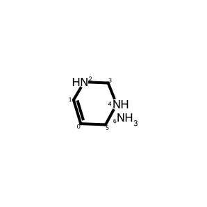 C1=CNCNC1.N